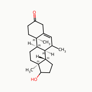 CC1C=C2CC(=O)CC[C@]2(C)[C@@H]2CC[C@]3(C)C(O)CC[C@H]3[C@H]12